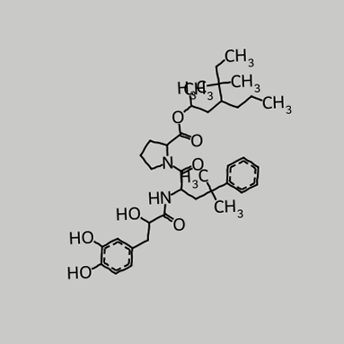 CCCC(CC(C)OC(=O)C1CCCN1C(=O)C(CC(C)(C)c1ccccc1)NC(=O)C(O)Cc1ccc(O)c(O)c1)C(C)(C)CC